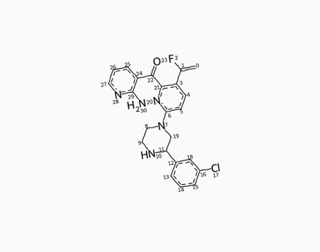 C=C(F)c1ccc(N2CCNC(c3cccc(Cl)c3)C2)nc1C(=O)c1cccnc1N